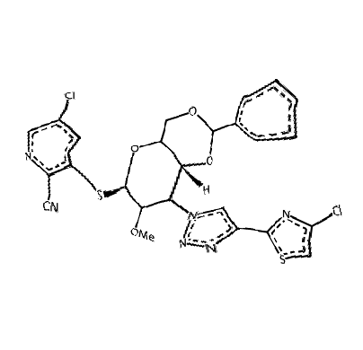 COC1C(n2cc(-c3nc(Cl)cs3)nn2)[C@H]2OC(c3ccccc3)OCC2O[C@@H]1Sc1cc(Cl)cnc1C#N